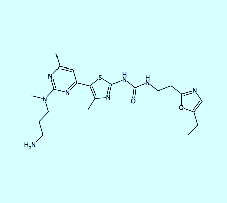 CCc1cnc(CCNC(=O)Nc2nc(C)c(-c3cc(C)nc(N(C)CCCN)n3)s2)o1